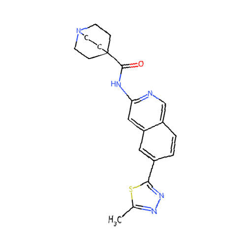 Cc1nnc(-c2ccc3cnc(NC(=O)C45CCN(CC4)CC5)cc3c2)s1